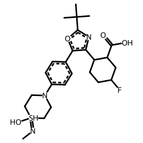 CN=[SH]1(O)CCN(c2ccc(-c3oc(C(C)(C)C)nc3C3CCC(F)CC3C(=O)O)cc2)CC1